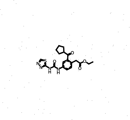 CCOC(=O)Cc1ccc(NC(=O)Nc2nncs2)cc1C(=O)C1CCCC1